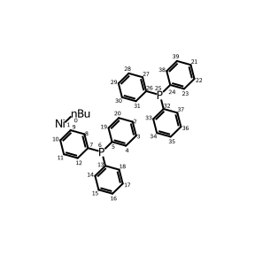 [CH2]CC[CH2][Ni].c1ccc(P(c2ccccc2)c2ccccc2)cc1.c1ccc(P(c2ccccc2)c2ccccc2)cc1